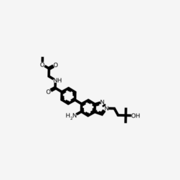 COC(=O)CNC(=O)c1ccc(-c2cc3nn(CCC(C)(C)O)cc3cc2N)cc1